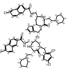 CC[C@@H](CN1CC[C@@H](CNC(=O)c2ccc3cc(Cl)ccc3c2)N[C@@H](CCN2CCCCC2)C1=O)c1ccsc1.O=C(NC[C@@H]1CCN(Cc2ccc(Cl)cc2Cl)C(=O)[C@H](CCN2CCCCC2)N1)c1ccc2cc(Cl)ccc2c1